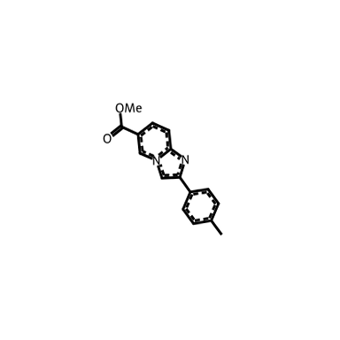 COC(=O)c1ccc2nc(-c3ccc(C)cc3)cn2c1